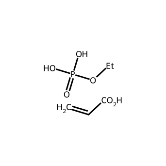 C=CC(=O)O.CCOP(=O)(O)O